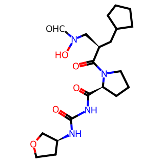 O=CN(O)C[C@@H](CC1CCCC1)C(=O)N1CCC[C@H]1C(=O)NC(=O)N[C@H]1CCOC1